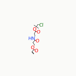 C=CC(=O)OCCC(=O)NCCC(=O)OC(C)(C)CCl